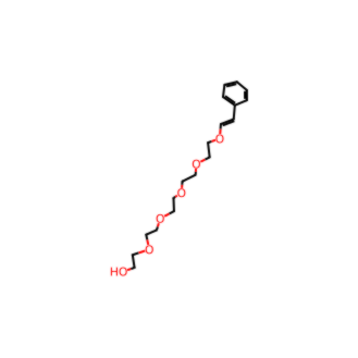 OCCOCCOCCOCCOCCOC=Cc1ccccc1